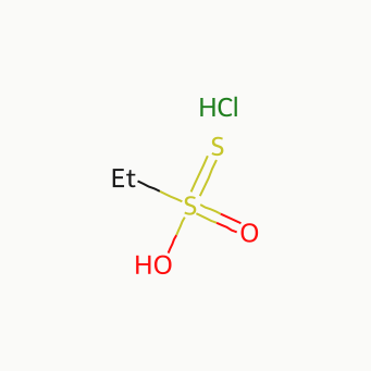 CCS(=O)(O)=S.Cl